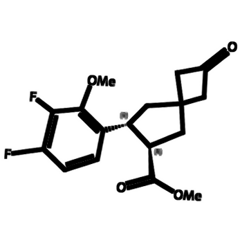 COC(=O)[C@@H]1CC2(CC(=O)C2)C[C@H]1c1ccc(F)c(F)c1OC